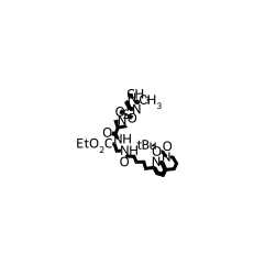 CCOC(=O)C(CNC(=O)CCCCc1ccc2c(n1)N(C(=O)OC(C)(C)C)CCC2)NC(=O)C1CN(S(=O)(=O)c2cn(C)c(C)n2)C1